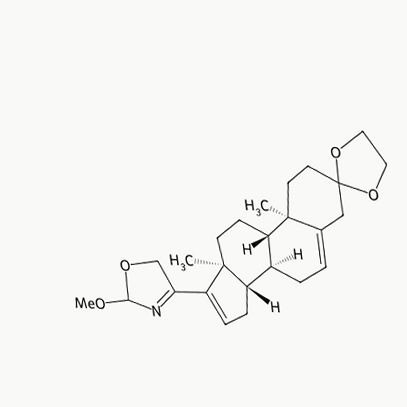 COC1N=C(C2=CC[C@H]3[C@@H]4CC=C5CC6(CC[C@]5(C)[C@H]4CC[C@]23C)OCCO6)CO1